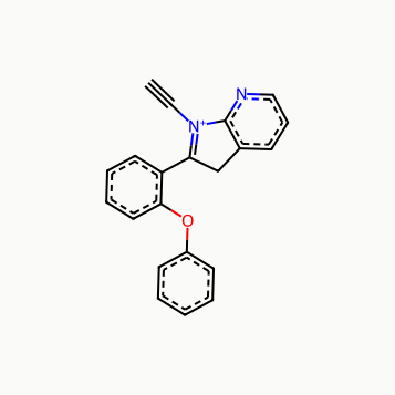 C#C[N+]1=C(c2ccccc2Oc2ccccc2)Cc2cccnc21